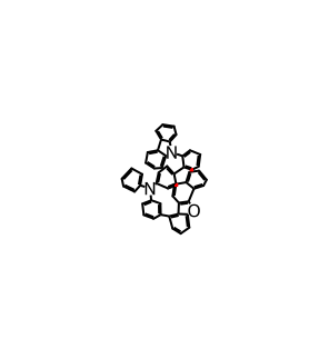 c1ccc(N(c2ccc(-c3ccccc3-n3c4ccccc4c4ccccc43)cc2)c2cccc(-c3cccc4oc5c6ccccc6ccc5c34)c2)cc1